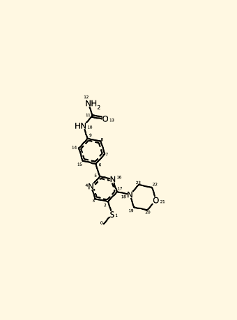 CSc1cnc(-c2ccc(NC(N)=O)cc2)nc1N1CCOCC1